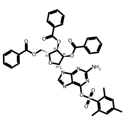 Cc1cc(C)c(S(=O)(=O)Oc2nc(N)nc3c2ncn3[C@@H]2O[C@H](COC(=O)c3ccccc3)[C@@H](OC(=O)c3ccccc3)[C@H]2OC(=O)c2ccccc2)c(C)c1